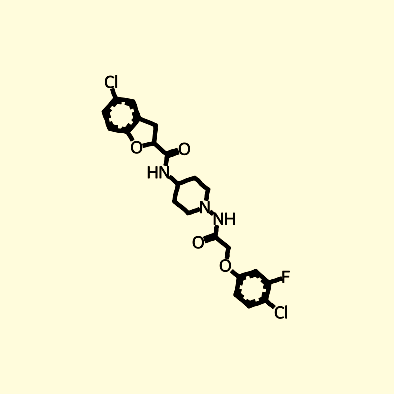 O=C(COc1ccc(Cl)c(F)c1)NN1CCC(NC(=O)C2Cc3cc(Cl)ccc3O2)CC1